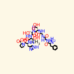 C[C@@H](O)[C@H](NC(=O)[C@H](CO)NC(=O)[C@H](CC(=O)O)NC(=O)CNC(=O)CNC(=O)[C@@H](N)Cc1ccccc1)C(=O)N[C@@H](Cc1c[nH]cn1)C(=O)N1CCC[C@H]1C(=O)O